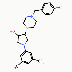 OC1CN(c2cc(C(F)(F)F)cc(C(F)(F)F)c2)CC1N1CCN(Cc2ccc(Cl)cc2)CC1